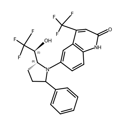 O=c1cc(C(F)(F)F)c2cc(N3C(c4ccccc4)CC[C@@H]3[C@H](O)C(F)(F)F)ccc2[nH]1